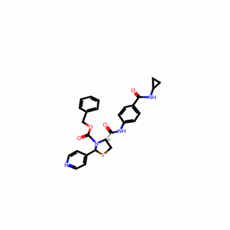 O=C(NC1CC1)c1ccc(NC(=O)[C@@H]2CSC(c3ccncc3)N2C(=O)OCc2ccccc2)cc1